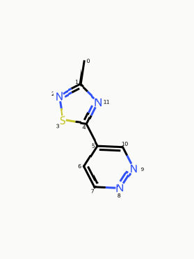 Cc1nsc(-c2ccnnc2)n1